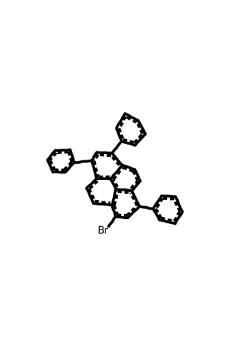 Brc1cc(-c2ccccc2)c2ccc3c(-c4ccccc4)cc(-c4ccccc4)c4ccc1c2c43